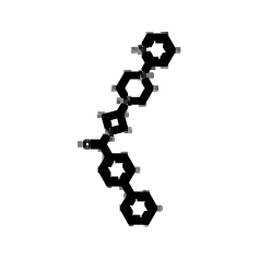 O=C(c1ccc(-c2ccccc2)cc1)N1CC(N2CCN(c3ccccn3)CC2)C1